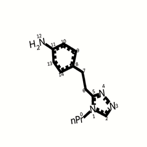 CCCn1cnnc1CCc1ccc(N)cc1